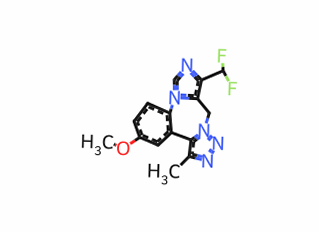 COc1ccc2c(c1)-c1c(C)nnn1Cc1c(C(F)F)ncn1-2